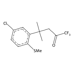 CSc1ccc(Cl)cc1C(C)(C)CC(=O)C(F)(F)F